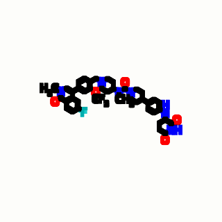 CN(C(=O)N1CCC(c2ccc(NC3CCC(=O)NC3=O)cc2)CC1)C1CCN(Cc2ccc(-c3cn(C)c(=O)c4ccc(F)cc34)cc2OC(F)(F)F)CC1